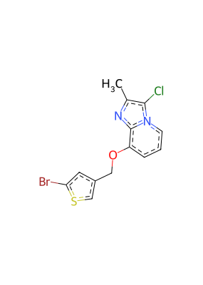 Cc1nc2c(OCc3csc(Br)c3)cccn2c1Cl